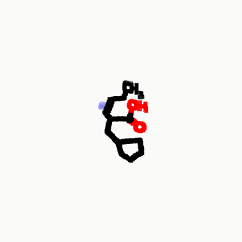 CC/C=C\C(CC1CCCC1)C(=O)O